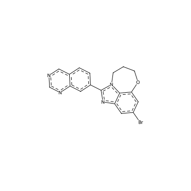 Brc1cc2c3c(c1)nc(-c1ccc4cncnc4c1)n3CCCO2